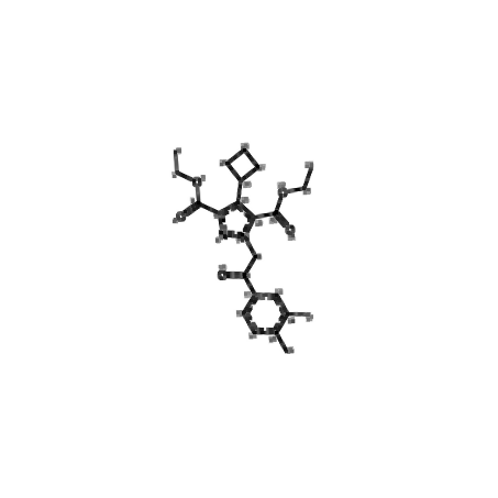 CCOC(=O)c1nn(CC(=O)c2ccc(C)c(C)c2)c(C(=O)OCC)c1C1CCC1